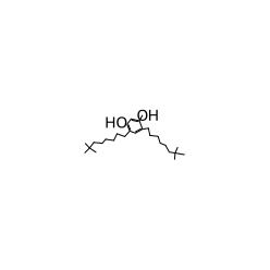 CC(C)(C)CCCCCCc1cc(CCCCCCC(C)(C)C)c(O)cc1O